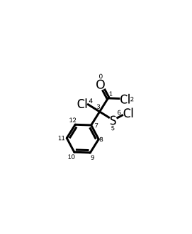 O=C(Cl)C(Cl)(SCl)c1ccccc1